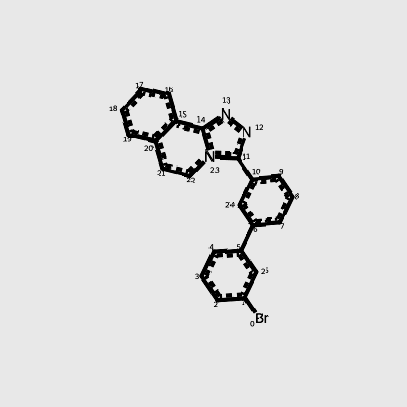 Brc1cccc(-c2cccc(-c3nnc4c5ccccc5ccn34)c2)c1